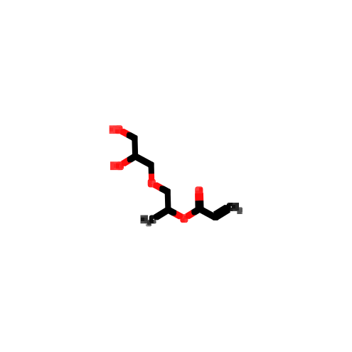 C=CC(=O)OC(C)COCC(O)CO